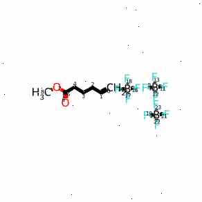 C=CCCCC(=O)OC.F[B-](F)(F)F.F[B-](F)(F)F.F[B-](F)(F)F